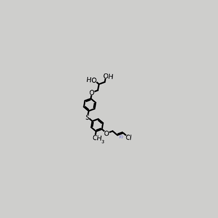 Cc1cc(Sc2ccc(OCC(O)CO)cc2)ccc1OC/C=C/Cl